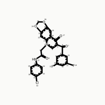 O=C(Cn1cc(C(=O)c2cc(F)cc(F)c2)c(=O)c2cc3c(cc21)OCO3)Nc1ccc(Cl)cc1